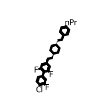 CCCc1ccc(CC[C@H]2CC[C@H](CCc3cc(F)c(-c4ccc(Cl)c(F)c4)c(F)c3)CC2)cc1